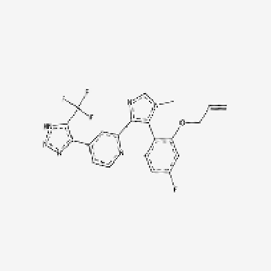 C=CCOc1cc(F)ccc1-c1c(-c2cc(-c3nn[nH]c3C(F)(F)F)ccn2)ncn1C